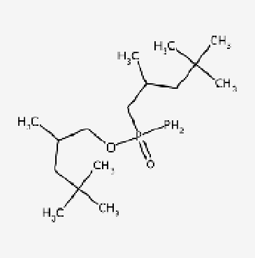 CC(COP(=O)(P)CC(C)CC(C)(C)C)CC(C)(C)C